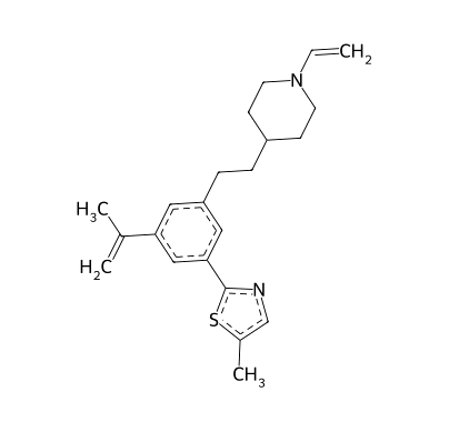 C=CN1CCC(CCc2cc(C(=C)C)cc(-c3ncc(C)s3)c2)CC1